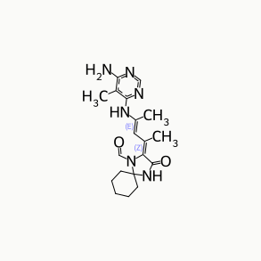 CC(/C=C(\C)Nc1ncnc(N)c1C)=C1\C(=O)NC2(CCCCC2)N1C=O